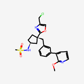 COc1ncccc1-c1cccc(C[C@]2(c3nc(CCl)co3)CC[C@H](NS(C)(=O)=O)C2)c1